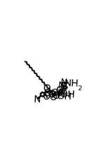 CCCCCCCCCCCCCCCCCCOC[C@@H](COP(=O)(O)O[C@H]1[C@]2(O)[C@@H](O)[C@@H](c3ccc4c(N)ncnn34)O[C@]12C)OCc1ccc(C#N)cc1OC